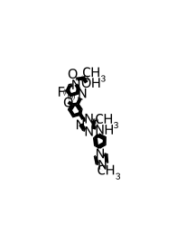 C[C@H](O)C(=O)N1CC[C@H](OC2=CCC(C3=N[C@H](C)C(Nc4ccc(N5CCN(C)CC5)cc4)=NC=N3)C=C2C#N)[C@H](F)C1